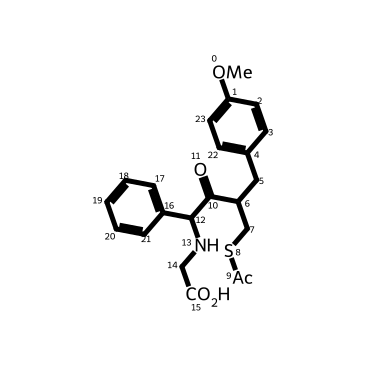 COc1ccc(CC(CSC(C)=O)C(=O)C(NCC(=O)O)c2ccccc2)cc1